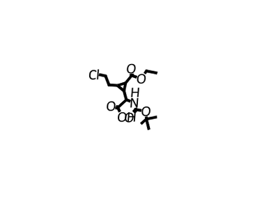 CCOC(=O)C1C(CCCl)C1C(NC(=O)OC(C)(C)C)C(=O)O